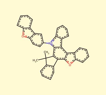 CC1(C)c2ccccc2-c2c1c1c(c3ccccc3n1-c1ccc3oc4ccccc4c3c1)c1c2oc2ccccc21